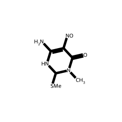 CSC1NC(N)=C(N=O)C(=O)N1C